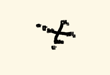 CS[C](C)(N)[Sn+3].[Cl-].[Cl-].[Cl-]